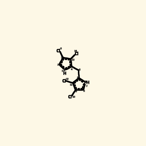 Clc1c[pH]c(Cc2[pH]cc(Cl)c2Cl)c1Cl